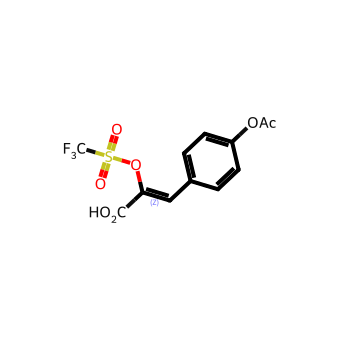 CC(=O)Oc1ccc(/C=C(\OS(=O)(=O)C(F)(F)F)C(=O)O)cc1